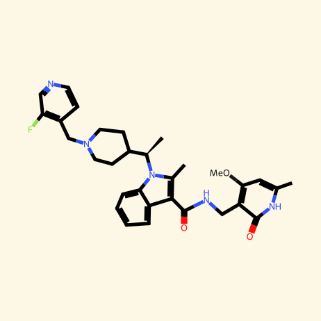 COc1cc(C)[nH]c(=O)c1CNC(=O)c1c(C)n([C@H](C)C2CCN(Cc3ccncc3F)CC2)c2ccccc12